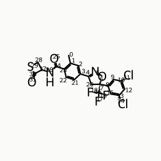 Cc1cc(C2=NO[C@@](c3cc(Cl)cc(Cl)c3)(C(F)(F)F)C2)ccc1C(=O)NC1CSC1=O